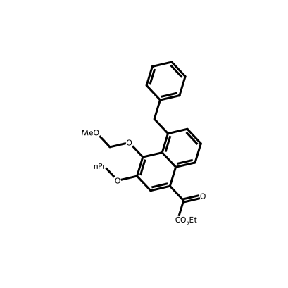 CCCOc1cc(C(=O)C(=O)OCC)c2cccc(Cc3ccccc3)c2c1OCOC